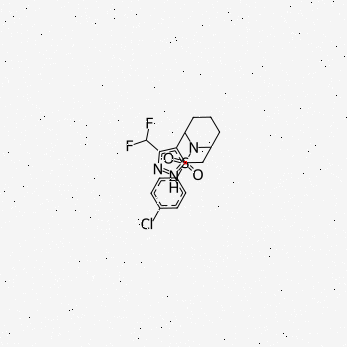 O=S(=O)(c1ccc(Cl)cc1)N1C2CCCC1c1c(C(F)F)n[nH]c1C2